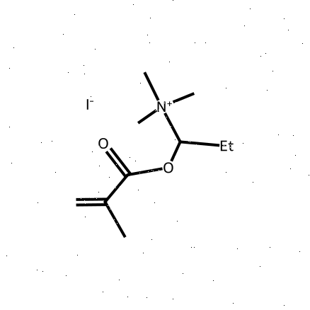 C=C(C)C(=O)OC(CC)[N+](C)(C)C.[I-]